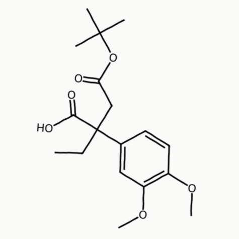 CCC(CC(=O)OC(C)(C)C)(C(=O)O)c1ccc(OC)c(OC)c1